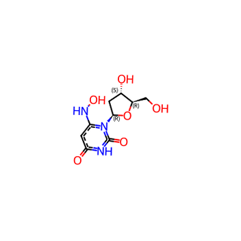 O=c1cc(NO)n([C@H]2C[C@H](O)[C@@H](CO)O2)c(=O)[nH]1